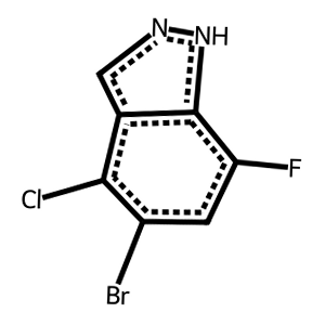 Fc1cc(Br)c(Cl)c2cn[nH]c12